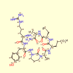 CC(C)C[C@@H](NC(=O)[C@@H](CCC(=O)O)NC(=O)[C@@H](C(C)C)N1CCCN(NC(=O)[C@@H](Cc2ccc(O)cc2)NC(=O)[C@H](N)CCCNC(=N)N)C1=O)C(=O)N[C@H](C)C(N)=O